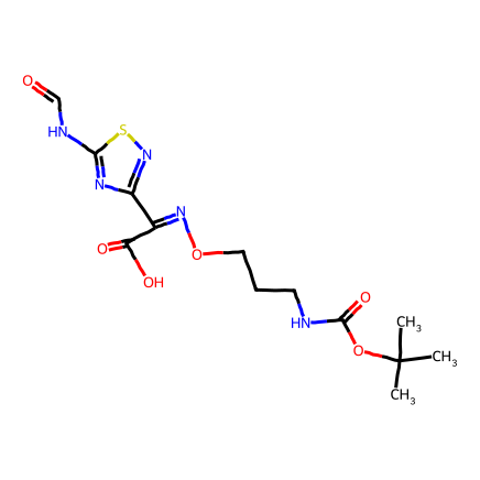 CC(C)(C)OC(=O)NCCCON=C(C(=O)O)c1nsc(NC=O)n1